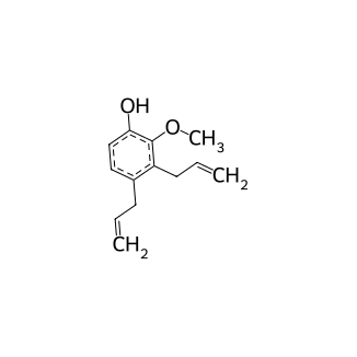 C=CCc1ccc(O)c(OC)c1CC=C